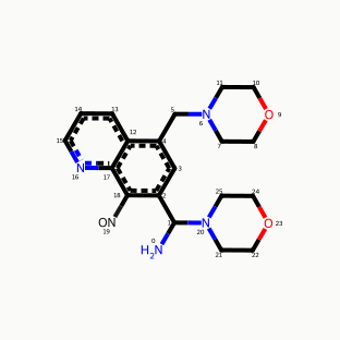 NC(c1cc(CN2CCOCC2)c2cccnc2c1N=O)N1CCOCC1